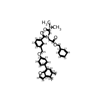 CN(C)C(=O)CN(CC(=O)OCc1ccccc1)C(=O)c1cccc(COc2ccc(-c3cc(F)c(F)c4ccoc34)cc2)c1